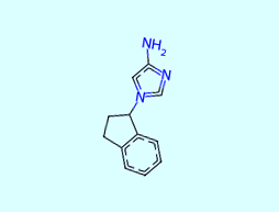 Nc1cn(C2CCc3ccccc32)cn1